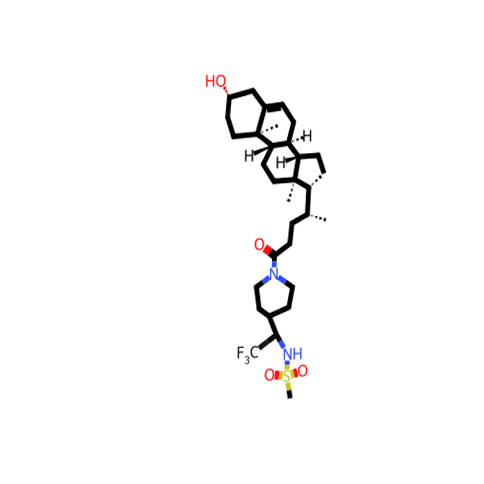 C[C@H](CCC(=O)N1CCC(C(NS(C)(=O)=O)C(F)(F)F)CC1)[C@H]1CC[C@H]2[C@@H]3CC=C4C[C@@H](O)CC[C@]4(C)[C@H]3CC[C@]12C